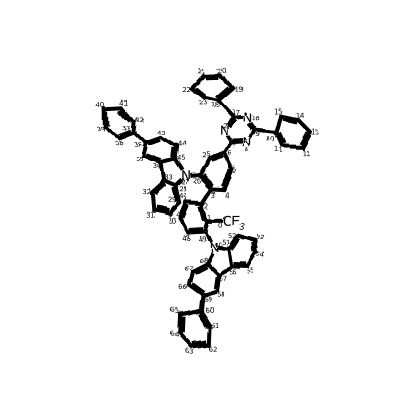 FC(F)(F)c1c(-c2ccc(-c3nc(-c4ccccc4)nc(-c4ccccc4)n3)cc2-n2c3ccccc3c3cc(-c4ccccc4)ccc32)cccc1-n1c2ccccc2c2cc(-c3ccccc3)ccc21